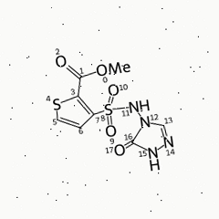 COC(=O)c1sccc1S(=O)(=O)Nn1cn[nH]c1=O